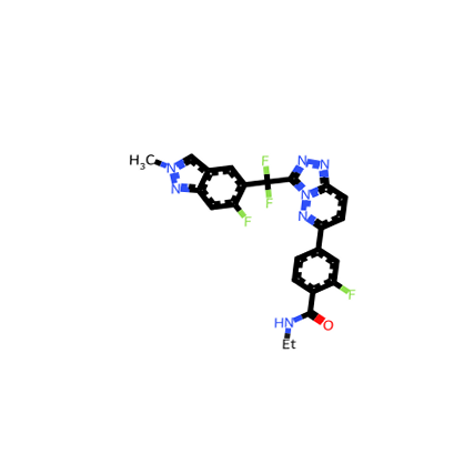 CCNC(=O)c1ccc(-c2ccc3nnc(C(F)(F)c4cc5cn(C)nc5cc4F)n3n2)cc1F